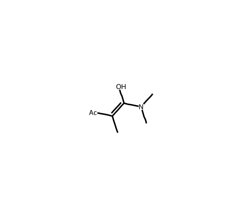 CC(=O)C(C)=C(O)N(C)C